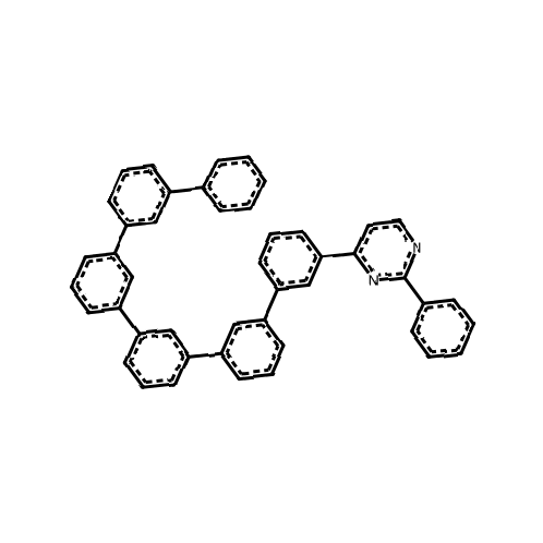 c1ccc(-c2cccc(-c3cccc(-c4cccc(-c5cccc(-c6cccc(-c7ccnc(-c8ccccc8)n7)c6)c5)c4)c3)c2)cc1